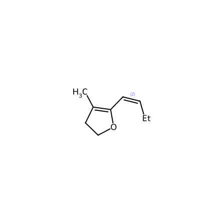 CC/C=C\C1=C(C)CCO1